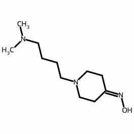 CN(C)CCCCN1CCC(=NO)CC1